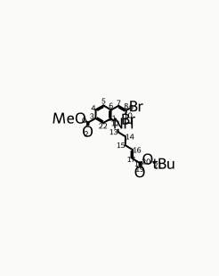 COC(=O)c1ccc(C=C(Br)Br)c(NCCCC=CC(=O)OC(C)(C)C)c1